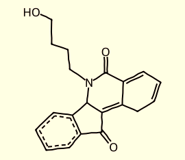 O=C1C2=C3CC=CC=C3C(=O)N(CCCCO)C2c2ccccc21